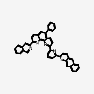 c1ccc(-c2cc3ccc(-c4cc5ccccc5cn4)nc3c3nc(-c4cccc(-c5ccc6cc7ccccc7cc6n5)n4)ccc23)cc1